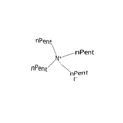 CCCCC[N+](CCCCC)(CCCCC)CCCCC.[I-]